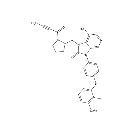 CC#CC(=O)N1CCCC1Cn1c(=O)n(-c2ccc(Oc3cccc(OC)c3F)cc2)c2cncc(C)c21